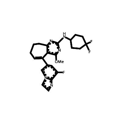 COc1nc(NC2CCC(F)(F)CC2)nc2c1C(c1cc(F)c3nccn3c1)=CCCC2